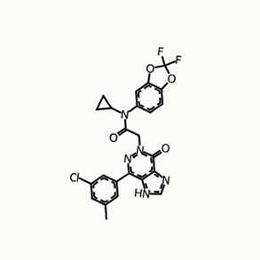 Cc1cc(Cl)cc(-c2nn(CC(=O)N(c3ccc4c(c3)OC(F)(F)O4)C3CC3)c(=O)c3nc[nH]c23)c1